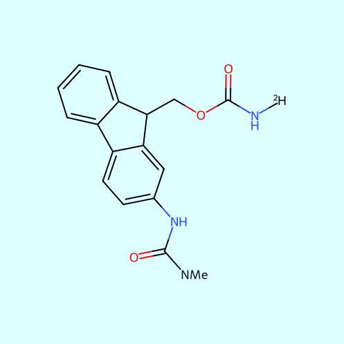 [2H]NC(=O)OCC1c2ccccc2-c2ccc(NC(=O)NC)cc21